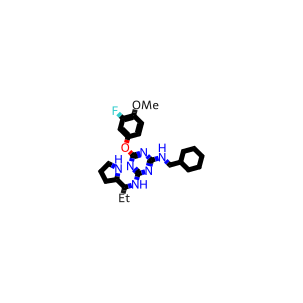 CCC(Nc1nc(NCC2CCCCC2)nc(Oc2ccc(OC)c(F)c2)n1)C1CCCN1